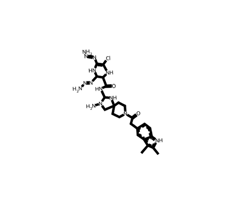 Cc1[nH]c2ccc(CC(=O)N3CCC4(CC3)CN(N)C(NC(=O)C3NC(Cl)=C(N=NN)NC3N=NN)N4)cc2c1C